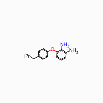 CC(C)Cc1ccc(Oc2cccc(N)c2N)cc1